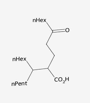 CCCCCCC(=O)CCC(C(=O)O)C(CCCCC)CCCCCC